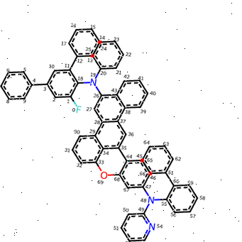 Fc1cc(-c2ccccc2)cc(-c2ccccc2)c1N(c1ccccc1)c1cc2c3cccc4c3c(cc2c2ccccc12)-c1ccc(N(c2ccccn2)c2ccccc2-c2ccccc2)cc1O4